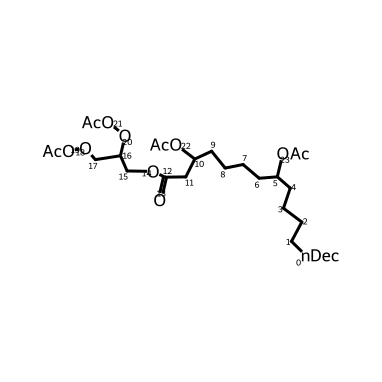 CCCCCCCCCCCCCCC(CCCCC(CC(=O)OCC(COOC(C)=O)OOC(C)=O)OC(C)=O)OC(C)=O